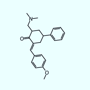 COc1ccc(C=C2CC(c3ccccc3)CC(CN(C)C)C2=O)cc1